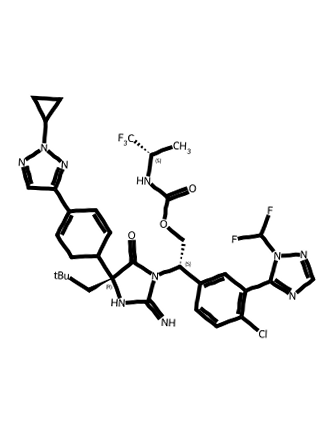 C[C@H](NC(=O)OC[C@H](c1ccc(Cl)c(-c2ncnn2C(F)F)c1)N1C(=N)N[C@](CC(C)(C)C)(C2C=CC(c3cnn(C4CC4)n3)=CC2)C1=O)C(F)(F)F